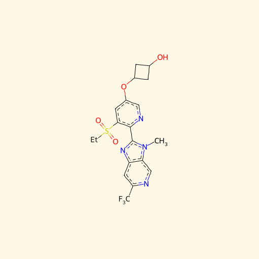 CCS(=O)(=O)c1cc(OC2CC(O)C2)cnc1-c1nc2cc(C(F)(F)F)ncc2n1C